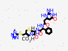 Cn1nnnc1SCC1=C(C(=O)O)N2C(=O)C(NC(=O)C(NC(=O)Cc3cc(=O)[nH]c(=N)[nH]3)c3ccccc3)[C@H]2SC1